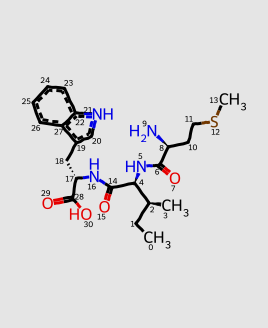 CC[C@H](C)[C@H](NC(=O)[C@@H](N)CCSC)C(=O)N[C@@H](Cc1c[nH]c2ccccc12)C(=O)O